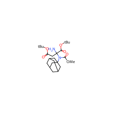 COC(=O)N(C12CC3CC(CC(C3)C1)C2)C(N)(CC(=O)OC(C)(C)C)C(=O)OC(C)(C)C